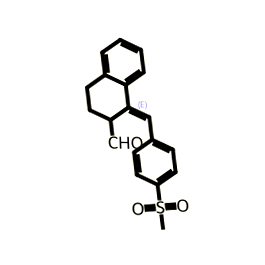 CS(=O)(=O)c1ccc(/C=C2/c3ccccc3CCC2C=O)cc1